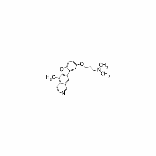 Cc1c2ccncc2cc2c1oc1ccc(OCCCN(C)C)cc12